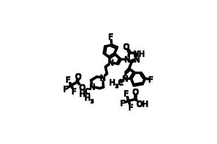 CN1CCN(CCn2cc(-n3c(-c4cn(C)c5ccc(F)cc45)n[nH]c3=O)c3cc(F)ccc32)CC1.O=C(O)C(F)(F)F.O=C(O)C(F)(F)F